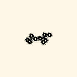 C1=CC2Oc3c(cccc3N(c3ccc(-c4ccc5c(c4)c4ccccc4n5-c4cccc5ccccc45)cc3)c3cccc4ccccc34)C2C=C1